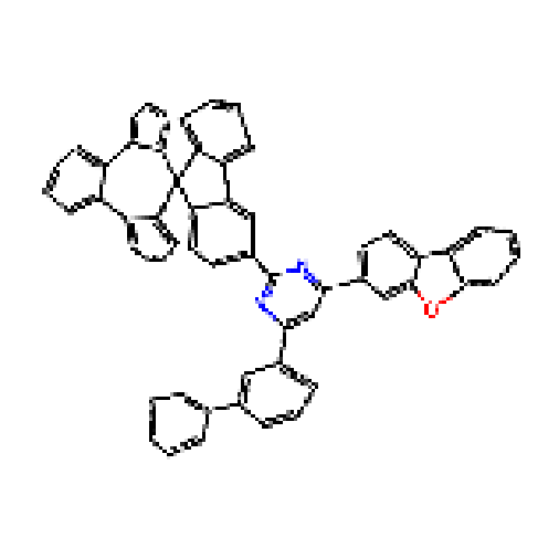 c1ccc(-c2cccc(-c3cc(-c4ccc5c(c4)oc4ccccc45)nc(-c4ccc5c(c4)-c4ccccc4C54c5ccccc5-c5ccccc5-c5ccccc54)n3)c2)cc1